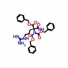 [NH]C(=O)[C@@](CCCNC(=N)N)(C(=O)OCc1ccccc1)N(C(=O)OCc1ccccc1)C(=O)OCc1ccccc1